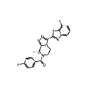 Cc1cccc2nc(-c3nnc4n3CCN(C(=O)c3ccc(F)cc3)[C@@H]4C)sc12